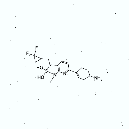 CN1c2nc(C3=CCC(N)CC3)ccc2N(CC2CC2(F)F)S1(O)O